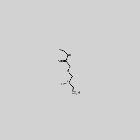 CC(C)(C)NC(=O)COC[C@@H](N)CC(=O)O